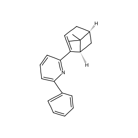 CC1(C)[C@H]2CC=C(c3cccc(-c4ccccc4)n3)[C@@H]1C2